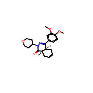 COc1ccc(C2=NN(C3CCOCC3)C(=O)[C@@H]3CC=CC[C@H]23)cc1OC